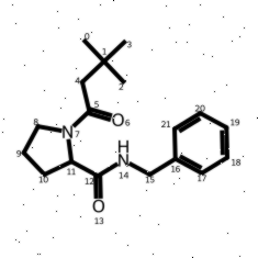 CC(C)(C)CC(=O)N1CCCC1C(=O)NCc1ccccc1